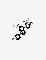 O=C1CCN(c2cc(C(F)(F)F)cc3c2ccn3C2CCNCC2)C(=O)N1